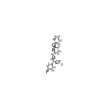 Fc1ccc(C(COCc2cccc(Oc3ccccc3)n2)C(F)(F)F)cc1